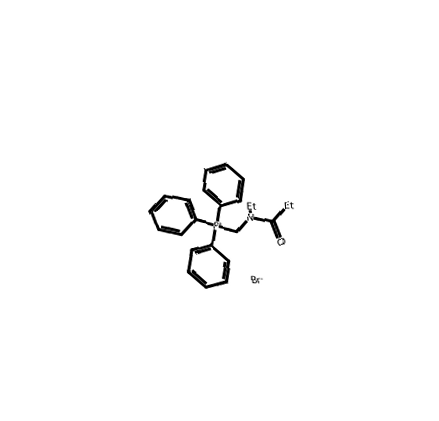 CCC(=O)N(CC)C[P+](c1ccccc1)(c1ccccc1)c1ccccc1.[Br-]